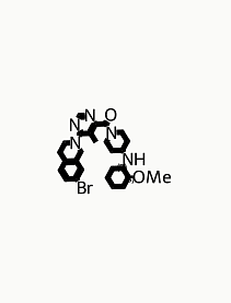 CO[C@H]1CCCC[C@H]1NC1CCN(C(=O)c2ncnc(N3CCc4ccc(Br)cc4C3)c2C)CC1